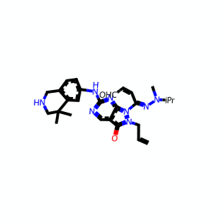 C=CCn1c(=O)c2cnc(Nc3ccc4c(c3)C(C)(C)CNC4)nc2n1C(/C=C\C=O)=N/N(C)C(C)C